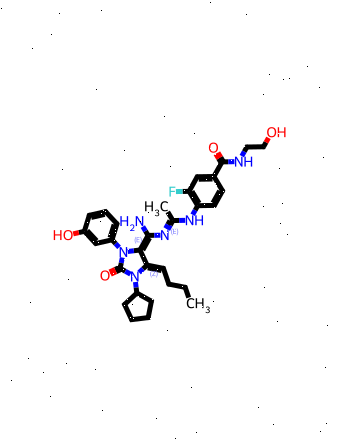 CCC/C=c1/c(=C(N)\N=C(/C)Nc2ccc(C(=O)NCCO)cc2F)n(-c2cccc(O)c2)c(=O)n1C1CCCC1